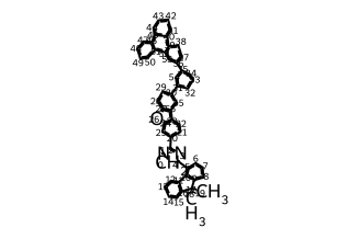 C=N/C(=N\Cc1cccc2c1-c1ccccc1C2(C)C)c1ccc2c(c1)oc1ccc(-c3cccc(-c4ccc5c6ccccc6c6ccccc6c5c4)c3)cc12